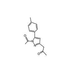 CC(=O)Cc1cc(-c2ccc(C)cc2)n(C(C)=O)n1